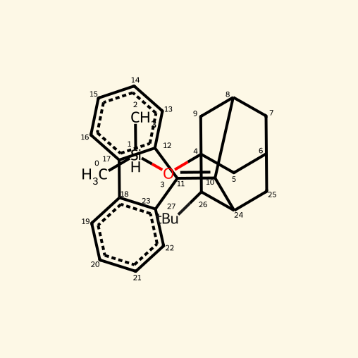 C[SiH](C)OC12CC3CC(C1)C(=C1c4ccccc4-c4ccccc41)C(C3)C2C(C)(C)C